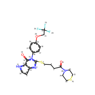 O=C(CCCSc1nc2cc[nH]c2c(=O)n1-c1ccc(OCC(F)(F)F)cc1)N1CCSCC1